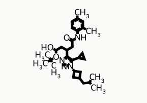 Cc1ccc(NC(=O)CC(CC(O)OC(C)(C)C)c2nnn(C3CC(CC(C)C)C3)c2C2CC2)c(C)c1